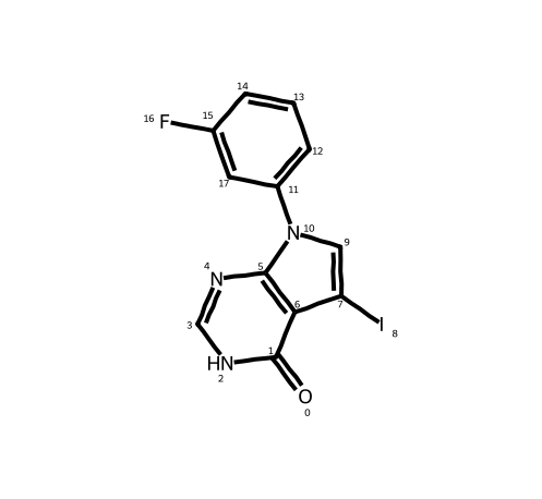 O=c1[nH]cnc2c1c(I)cn2-c1cccc(F)c1